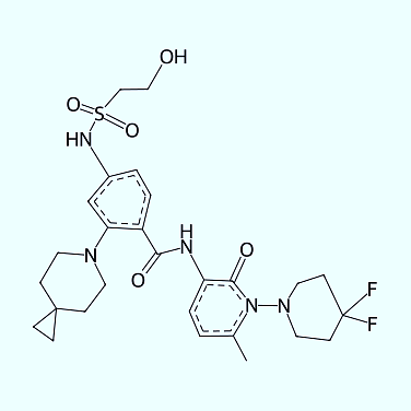 Cc1ccc(NC(=O)c2ccc(NS(=O)(=O)CCO)cc2N2CCC3(CC2)CC3)c(=O)n1N1CCC(F)(F)CC1